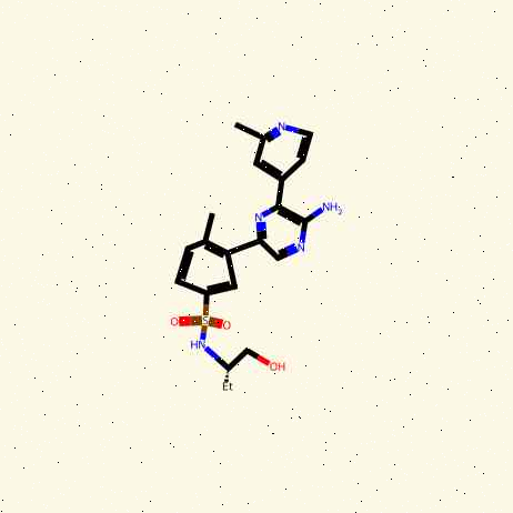 CC[C@@H](CO)NS(=O)(=O)c1ccc(C)c(-c2cnc(N)c(-c3ccnc(C)c3)n2)c1